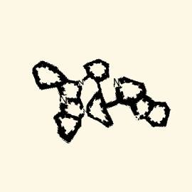 c1ccc(-c2nccc3c2sc2ccccc23)c(-c2ccccc2-n2c3ccccc3n3c4ccccc4nc23)c1